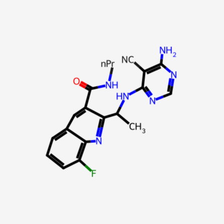 CCCNC(=O)c1cc2cccc(F)c2nc1C(C)Nc1ncnc(N)c1C#N